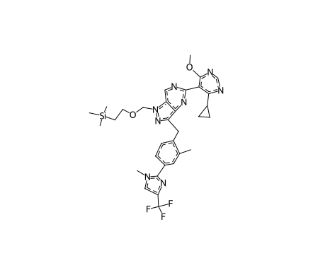 COc1ncnc(C2CC2)c1-c1ncc2c(n1)c(Cc1ccc(-c3nc(C(F)(F)F)cn3C)cc1C)nn2COCC[Si](C)(C)C